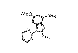 COc1cc(OC)c2nc(C)n(-c3ncccn3)c2c1